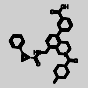 CC1CCC(C(=O)N2CCc3c(-c4cccc(C(=O)O)c4)ccc(CNC(=O)[C@@H]4C[C@@H]4c4ccccc4)c3C2)CC1